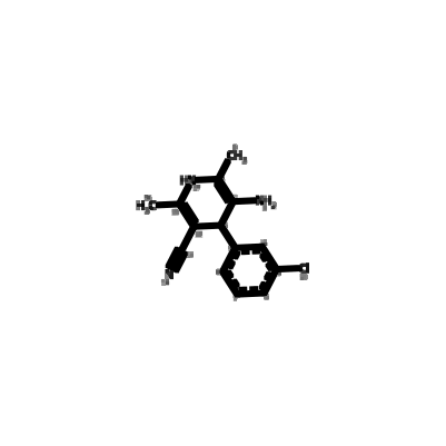 CC1=C(N)C(c2cccc(Cl)c2)C(C#N)=C(C)N1